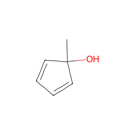 CC1(O)C=CC=C1